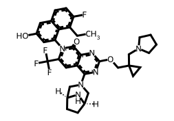 CCc1c(F)ccc2cc(O)cc(-n3c(C(F)(F)F)cc4c(N5C[C@H]6CC[C@@H](C5)N6)nc(OCC5(CN6CCCC6)CC5)nc4c3=O)c12